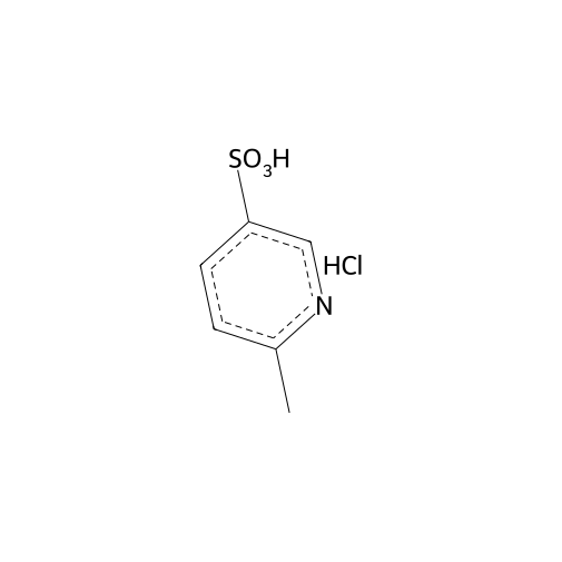 Cc1ccc(S(=O)(=O)O)cn1.Cl